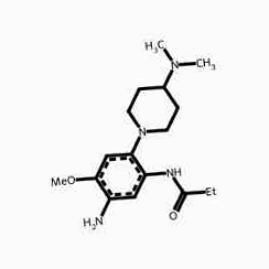 CCC(=O)Nc1cc(N)c(OC)cc1N1CCC(N(C)C)CC1